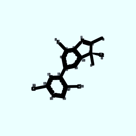 CC[C@@]1(C)C(C)=Nc2c(F)cc(-c3nc(Cl)ncc3Cl)cc21